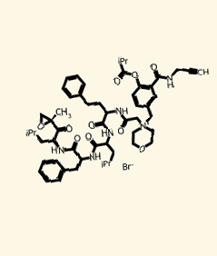 C#CCNC(=O)c1cc(C[N+]2(CC(=O)NC(CCc3ccccc3)C(=O)NC(CC(C)C)C(=O)NC(Cc3ccccc3)C(=O)NC(CC(C)C)C(=O)[C@@]3(C)CO3)CCOCC2)ccc1OC(=O)C(C)C.[Br-]